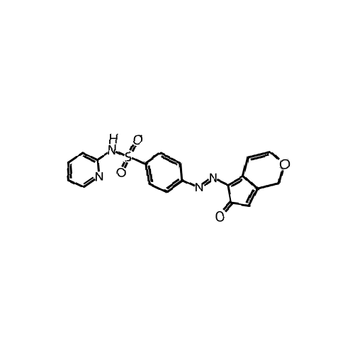 O=C1C=C2COC=CC2=C1N=Nc1ccc(S(=O)(=O)Nc2ccccn2)cc1